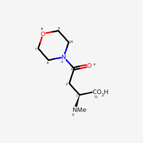 CN[C@@H](CC(=O)N1CCOCC1)C(=O)O